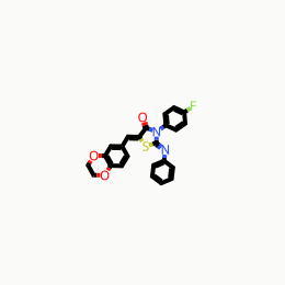 O=C1/C(=C/c2ccc3c(c2)OCCO3)S/C(=N\c2ccccc2)N1c1ccc(F)cc1